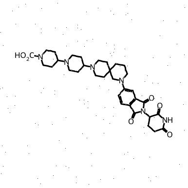 O=C1CCC(N2C(=O)c3ccc(N4CCCC5(CCN(C6CCN(C7CCN(C(=O)O)CC7)CC6)CC5)C4)cc3C2=O)C(=O)N1